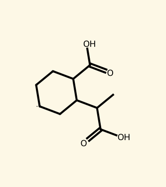 CC(C(=O)O)C1C[CH]CCC1C(=O)O